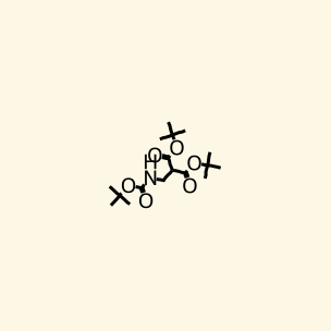 CC(C)(C)OC(=O)NCC(C(=O)OC(C)(C)C)C(=O)OC(C)(C)C